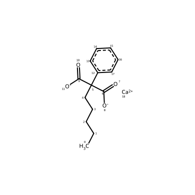 CCCCCC(C(=O)[O-])(C(=O)[O-])c1ccccc1.[Ca+2]